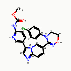 COC(=O)Nc1ccc(-c2cnc3ccc(C4=NOCCN4c4ccc(F)cc4)cn23)cn1